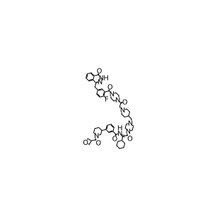 O=C(N[C@@H](C(=O)N1CCN(CC2CCN(CC(=O)N3CCN(C(=O)c4cc(Cc5n[nH]c(=O)c6ccccc56)ccc4F)CC3)CC2)CC1)C1CCCCC1)c1cccc(C2CCCN(C(=O)C3COC3)C2)c1